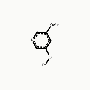 CCOc1[c]ncc(OC)c1